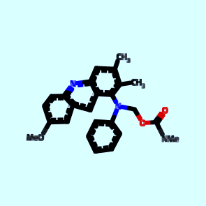 CNC(=O)OCN(c1ccccc1)c1c(C)c(C)cc2nc3ccc(OC)cc3cc12